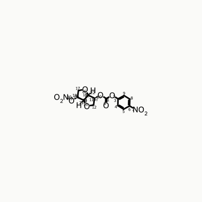 O=C(Oc1ccc([N+](=O)[O-])cc1)O[C@H]1CO[C@H]2[C@@H]1OC[C@@H]2O[N+](=O)[O-]